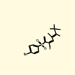 C=C(/C(F)=C\C(C)=C(/C)C(C)(C)C)S(=O)(=O)c1ccc(Br)cc1